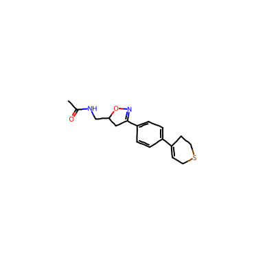 CC(=O)NCC1CC(c2ccc(C3=CCSCC3)cc2)=NO1